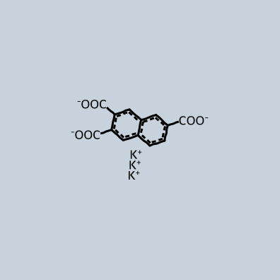 O=C([O-])c1ccc2cc(C(=O)[O-])c(C(=O)[O-])cc2c1.[K+].[K+].[K+]